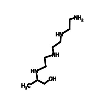 CC(CO)NCCNCCNCCN